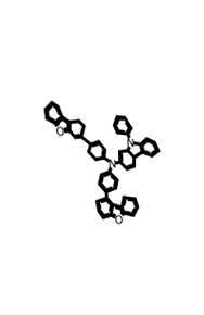 C1=CC2c3ccccc3N(c3ccccc3)C2C=C1N(C1=CC=C(C2=Cc3oc4ccccc4c3CC2)CC1)c1ccc(-c2cccc3oc4ccccc4c23)cc1